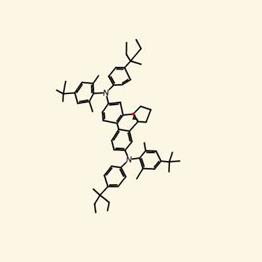 CCC(C)(CC)c1ccc(N(c2ccc3c(c2)C24CCCC2(CCC4)c2cc(N(c4ccc(C(C)(CC)CC)cc4)c4c(C)cc(C(C)(C)C)cc4C)ccc2-3)c2c(C)cc(C(C)(C)C)cc2C)cc1